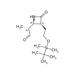 C[C@@H](C=O)[C@H]1NC(=O)[C@H]1CCO[Si](C)(C)C(C)(C)C